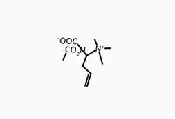 C=CCC(C(=O)[O-])[N+](C)(C)C.CC(=O)O